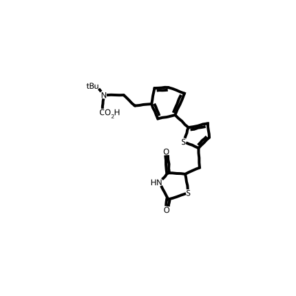 CC(C)(C)N(CCc1cccc(-c2ccc(CC3SC(=O)NC3=O)s2)c1)C(=O)O